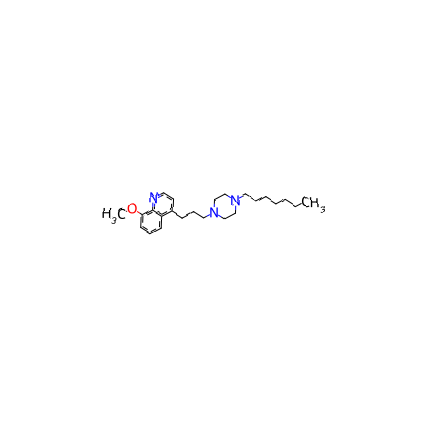 CCCCCCCN1CCN(CCCc2ccnc3c(OC)cccc23)CC1